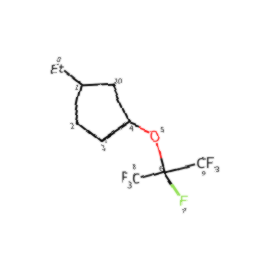 [CH2]CC1C[CH]C(OC(F)(C(F)(F)F)C(F)(F)F)C1